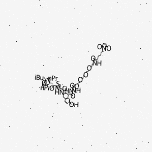 CCCO[C@H](CC(C(C)C)N(CCC)C(=O)C[C@@H](C)CC)c1nc(C(=O)N[C@H]2Cc3ccc(O)cc3[C@H](C(=O)NNC(=O)OCCOCCOCCOCCNC(=O)CCCCCN3C(=O)C=CC3=O)C2)cs1